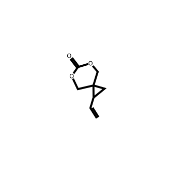 C=CC1CC12COC(=O)OC2